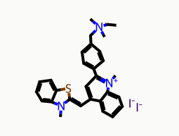 CC[N+](C)(C)Cc1ccc(-c2cc(C=C3Sc4ccccc4N3C)c3ccccc3[n+]2C)cc1.[I-].[I-]